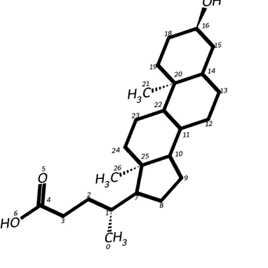 C[C@H](CCC(=O)O)C1CCC2C3CCC4C[C@H](O)CC[C@]4(C)C3CC[C@@]21C